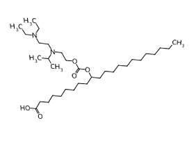 CCCCCCCCCCCCC(CCCCCCCCC(=O)O)OC(=O)OCCN(CCN(CC)CC)C(C)C